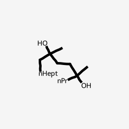 CCCCCCCCC(C)(O)CCC(C)(O)CCC